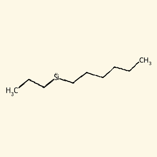 CCCCCC[Si]CCC